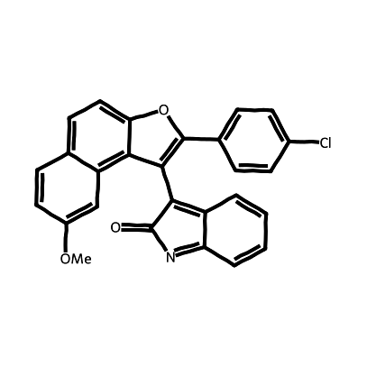 COc1ccc2ccc3oc(-c4ccc(Cl)cc4)c(C4=c5ccccc5=NC4=O)c3c2c1